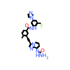 Cc1ccc(C(=O)Nc2cc(CF)cc(-n3ccnc3)c2)cc1C#Cc1cnc2c(NC(N)=O)cccn12